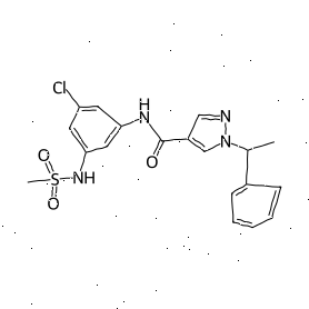 CC(c1ccccc1)n1cc(C(=O)Nc2cc(Cl)cc(NS(C)(=O)=O)c2)cn1